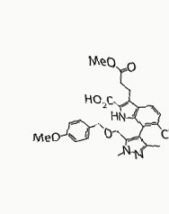 COC(=O)CCc1c(C(=O)O)[nH]c2c(-c3c(C)nn(C)c3COCc3ccc(OC)cc3)c(Cl)ccc12